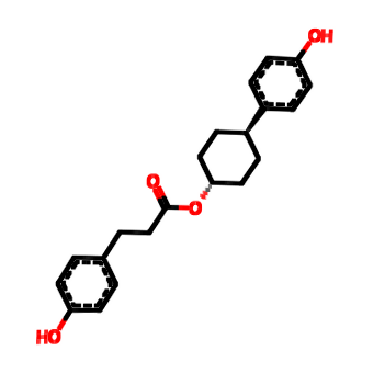 O=C(CCc1ccc(O)cc1)O[C@H]1CC[C@H](c2ccc(O)cc2)CC1